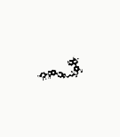 COc1cc(-c2cn(C)c(=O)c3cnccc23)cc(OC)c1CN(C)CCCCN1CC2(CCN(c3ccc4c(c3)C(=O)N(C3CCC(=O)NC3=O)C4)CC2)C1